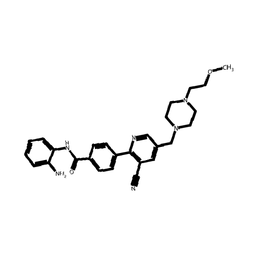 COCCN1CCN(Cc2cnc(-c3ccc(C(=O)Nc4ccccc4N)cc3)c(C#N)c2)CC1